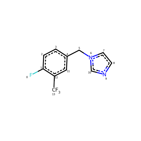 Fc1ccc(Cn2ccnc2)cc1C(F)(F)F